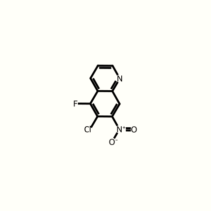 O=[N+]([O-])c1cc2ncccc2c(F)c1Cl